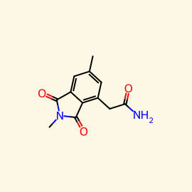 Cc1cc(CC(N)=O)c2c(c1)C(=O)N(C)C2=O